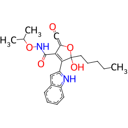 CCCCCC1(O)OC(=C=O)C(C(=O)NOC(C)C)=C1c1cc2ccccc2[nH]1